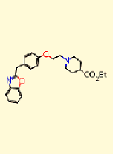 CCOC(=O)C1CCN(CCOc2ccc(Cc3nc4ccccc4o3)cc2)CC1